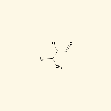 CC(C)C([O])C=O